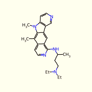 CCN(CC)CCC(C)Nc1nccc2c(C)c3c(cc12)c1cnccc1n3C